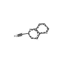 C#Cc1ccc2nc[c]cc2n1